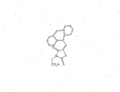 O=C(O)CN1C(=O)/C(=C\c2c3ccccc3cc3ccccc23)SC1=S